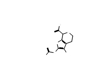 NC(=O)C1NCCc2c1sc(NC(=O)C(=O)O)c2C(=O)O